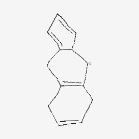 [C]1C2=C(CC=CC2)CC2=CC=CC12